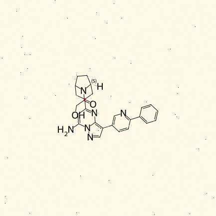 Nc1cc(C2CC3CC[C@@H](C2)N3C(=O)CO)nc2c(-c3ccc(-c4ccccc4)nc3)cnn12